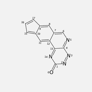 O=C1N=Nc2ncc3cc4c(cc3c2=N1)=CC=C4